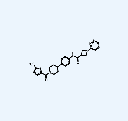 Cc1ccc(C(=O)N2CCC(c3ccc(NC(=O)C4CN(c5cccnn5)C4)cc3)CC2)s1